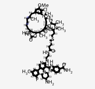 COc1cc2cc(c1Cl)N(C)C(=O)C[C@H](OC(=O)C(C)N(C)C(=O)CCSSCCC(=O)NCCNc1ncc(-c3cc(C)cc(F)c3)c(N3CCC(N)CC3)c1-c1nc3ccc(C(N)=O)cc3[nH]1)C1(C)OC1C(C)C1C[C@](O)(C/C=C/C=C(\C)C2)NC(=O)O1